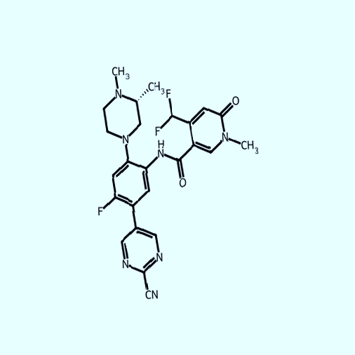 C[C@@H]1CN(c2cc(F)c(-c3cnc(C#N)nc3)cc2NC(=O)c2cn(C)c(=O)cc2C(F)F)CCN1C